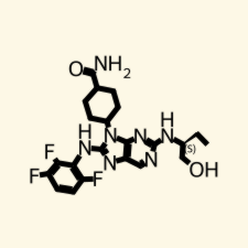 CC[C@@H](CO)Nc1ncc2nc(Nc3c(F)ccc(F)c3F)n(C3CCC(C(N)=O)CC3)c2n1